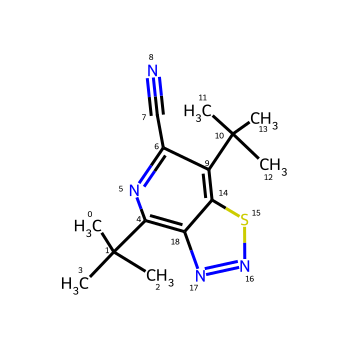 CC(C)(C)c1nc(C#N)c(C(C)(C)C)c2snnc12